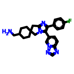 NCC1CCC2(CC1)Cc1nc(-c3ccc(F)cc3)c(-c3ccc4ncnn4c3)n1C2